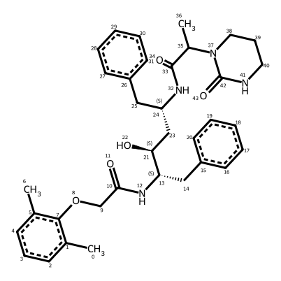 Cc1cccc(C)c1OCC(=O)N[C@@H](Cc1ccccc1)[C@@H](O)C[C@H](Cc1ccccc1)NC(=O)C(C)N1CCCNC1=O